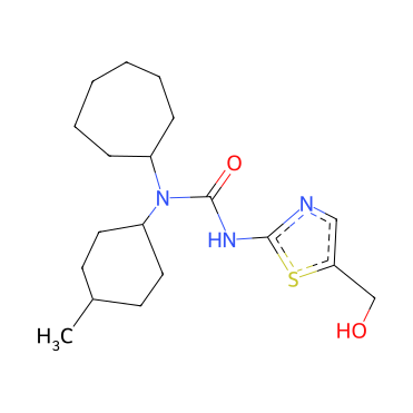 CC1CCC(N(C(=O)Nc2ncc(CO)s2)C2CCCCCC2)CC1